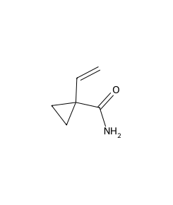 C=CC1(C(N)=O)CC1